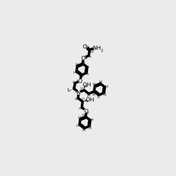 C[C@H](COc1ccc(OCC(N)=O)cc1)N(C[C@H](O)COc1ccccc1)[C@H](O)Cc1ccccc1